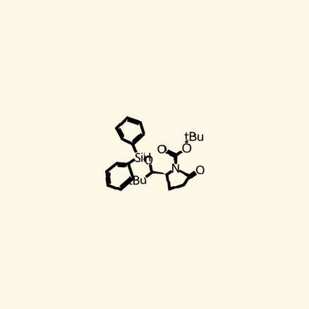 CC(C)(C)OC(=O)N1C(=O)CC[C@H]1C(O[SiH](c1ccccc1)c1ccccc1)C(C)(C)C